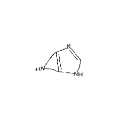 c1nc2c([nH]1)N2